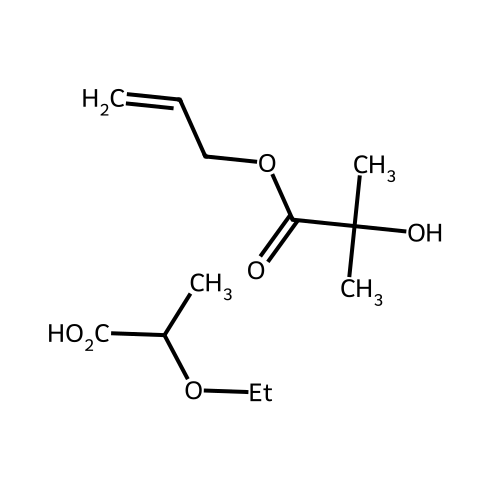 C=CCOC(=O)C(C)(C)O.CCOC(C)C(=O)O